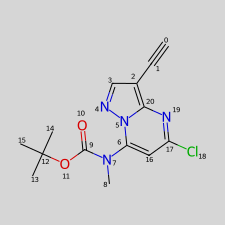 C#Cc1cnn2c(N(C)C(=O)OC(C)(C)C)cc(Cl)nc12